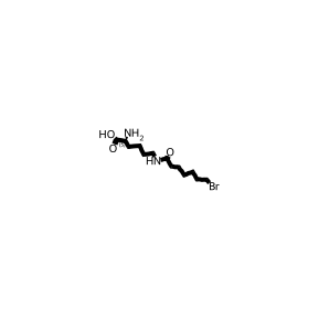 N[C@@H](CCCCNC(=O)CCCCCCBr)C(=O)O